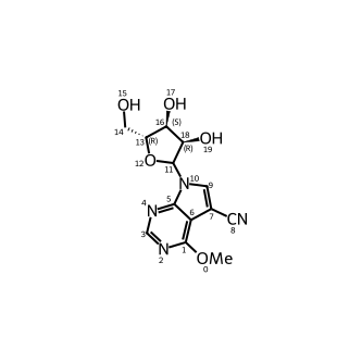 COc1ncnc2c1c(C#N)cn2C1O[C@H](CO)[C@@H](O)[C@H]1O